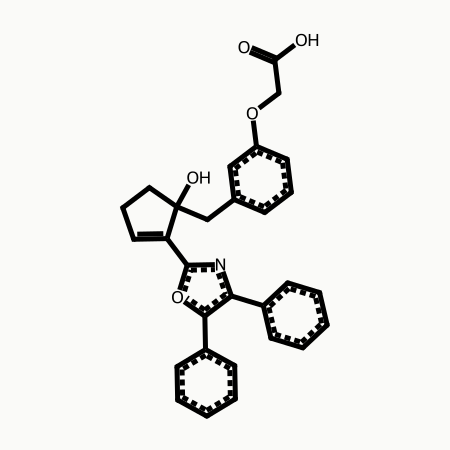 O=C(O)COc1cccc(CC2(O)CCC=C2c2nc(-c3ccccc3)c(-c3ccccc3)o2)c1